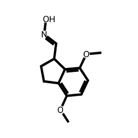 COc1ccc(OC)c2c1CCC2C=NO